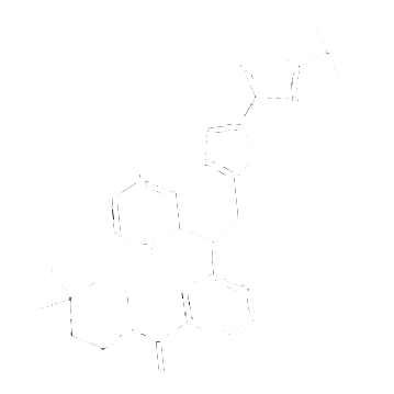 O=C(c1cnnc(N(Cc2ccc(-c3noc(C(F)(F)F)n3)s2)c2cnccn2)c1)N1CCC(F)(F)CC1